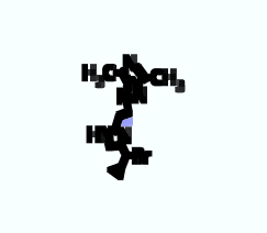 Cc1ncc(C)n2nc(/C=C/c3nc(C(Br)C4CC4)c[nH]3)nc12